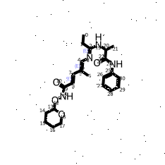 CC\C(=N/C=C(C)/C=C/C(=O)NOC1CCCCO1)NC(C)C(=O)Nc1ccccc1